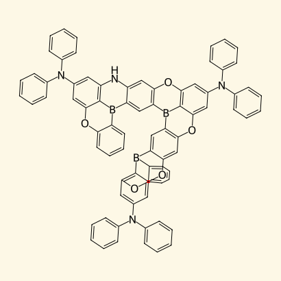 c1ccc(N(c2ccccc2)c2cc3c4c(c2)Oc2ccccc2B4c2cc4c(cc2N3)Oc2cc(N(c3ccccc3)c3ccccc3)cc3c2B4c2cc4c(cc2O3)Oc2cc(N(c3ccccc3)c3ccccc3)cc3c2B4c2ccccc2O3)cc1